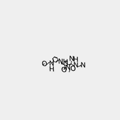 CCn1c(=C(C#N)C(=O)NCC#N)sc(=CNc2cccc(NCCOC)c2)c1=O